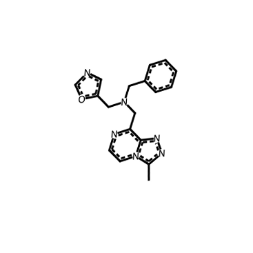 Cc1nnc2c(CN(Cc3ccccc3)Cc3cnco3)nccn12